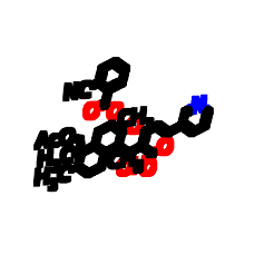 CC(=O)OCC1(C)C2C[C@H](OC(=O)c3ccccc3C#N)[C@@]3(C)Oc4cc(-c5cccnc5)oc(=O)c4[C@H](O)C3[C@@]2(C)CC[C@@H]1C